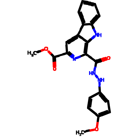 COC(=O)c1cc2c([nH]c3ccccc32)c(C(=O)NNc2ccc(OC)cc2)n1